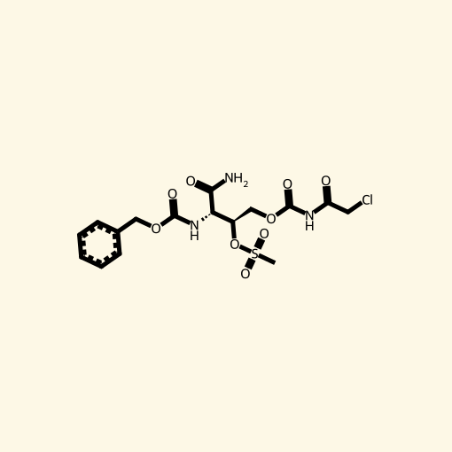 CS(=O)(=O)O[C@H](COC(=O)NC(=O)CCl)[C@H](NC(=O)OCc1ccccc1)C(N)=O